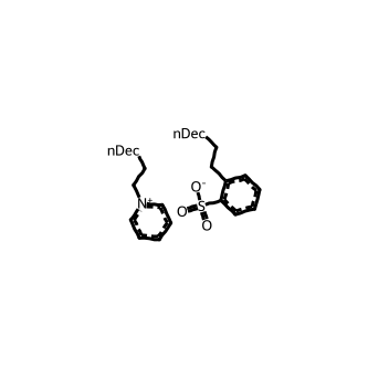 CCCCCCCCCCCC[n+]1ccccc1.CCCCCCCCCCCCc1ccccc1S(=O)(=O)[O-]